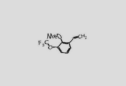 C=[C]c1cccc(OC(F)(F)F)c1OC